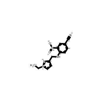 CCn1ccc(CNc2ccc(C#N)cc2[N+](=O)[O-])n1